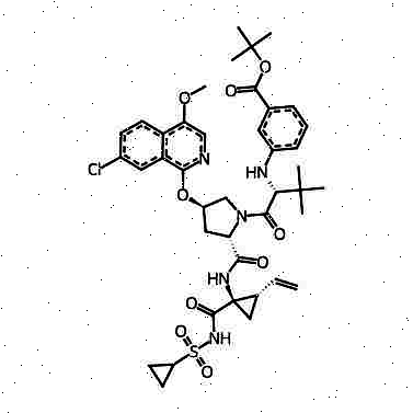 C=C[C@@H]1C[C@]1(NC(=O)[C@@H]1C[C@@H](Oc2ncc(OC)c3ccc(Cl)cc23)CN1C(=O)[C@H](Nc1cccc(C(=O)OC(C)(C)C)c1)C(C)(C)C)C(=O)NS(=O)(=O)C1CC1